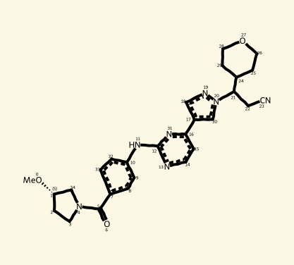 CO[C@H]1CCN(C(=O)c2ccc(Nc3nccc(-c4cnn(C(CC#N)C5CCOCC5)c4)n3)cc2)C1